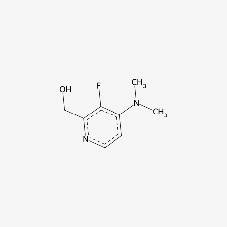 CN(C)c1ccnc(CO)c1F